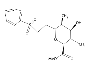 COC(=O)[C@H]1OC(CCS(=O)(=O)c2ccccc2)[C@@H](C)[C@@H](O)C1C